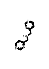 c1cc(CNCc2ccncn2)ncn1